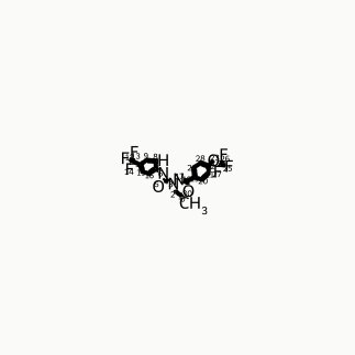 CC1CN(C(=O)Nc2ccc(C(F)(F)F)cc2)N=C(c2ccc(OC(F)(F)F)cc2)O1